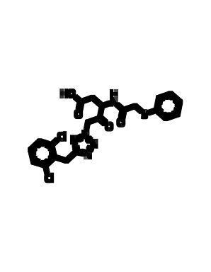 O=C(O)CC(NC(=O)CSc1ccccc1)C(=O)Cn1nnc(Cc2c(Cl)cccc2Cl)n1